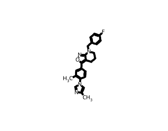 Cc1cn(-c2ccc(-c3onc4c3CCCN4Cc3ccc(F)cc3)cc2C)cn1